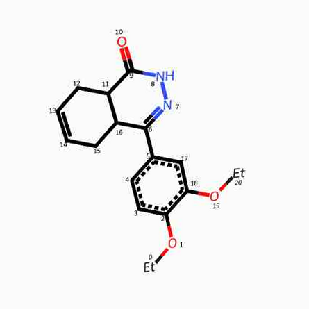 CCOc1ccc(C2=NNC(=O)C3CC=CCC23)cc1OCC